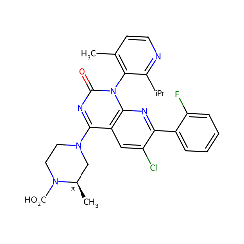 Cc1ccnc(C(C)C)c1-n1c(=O)nc(N2CCN(C(=O)O)[C@H](C)C2)c2cc(Cl)c(-c3ccccc3F)nc21